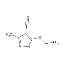 CCOC1=C(C#N)C(C)=N[N]1